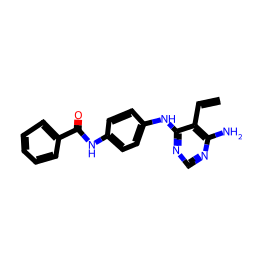 C=Cc1c(N)ncnc1Nc1ccc(NC(=O)c2ccccc2)cc1